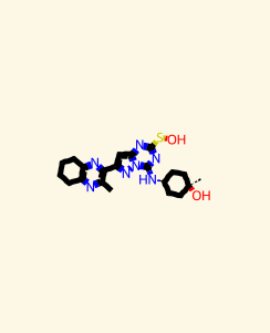 Cc1nc2c(nc1-c1cc3nc(SO)nc(N[C@H]4CC[C@](C)(O)CC4)n3n1)CCCC2